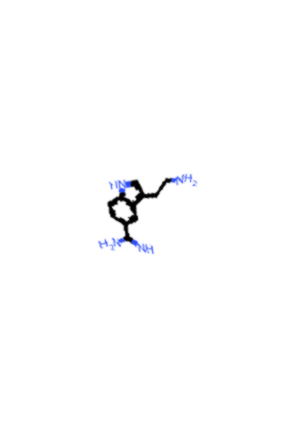 N=C(N)c1ccc2[nH]cc(CCN)c2c1